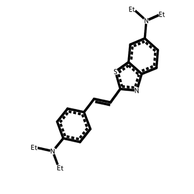 CCN(CC)c1ccc(C=Cc2nc3ccc(N(CC)CC)cc3s2)cc1